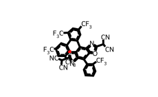 N#CC(C#N)c1nc2c(-c3cc(C(F)(F)F)cc(C(F)(F)F)c3-c3cc(C(F)(F)F)cc(C(F)(F)F)c3)c3oc(C(C#N)C#N)nc3c(-c3ccccc3C(F)(F)F)c2o1